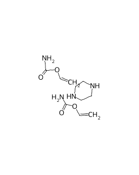 C1CNCCN1.C=COC(N)=O.C=COC(N)=O